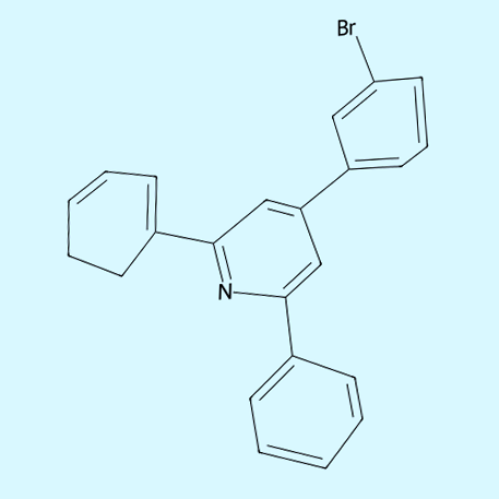 Brc1cccc(-c2cc(C3=CC=CCC3)nc(-c3ccccc3)c2)c1